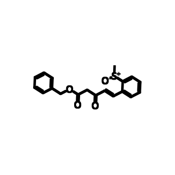 C[S+]([O-])c1ccccc1C=CC(=O)CC(=O)OCc1ccccc1